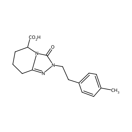 Cc1ccc(CCn2nc3n(c2=O)C(C(=O)O)CCC3)cc1